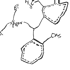 CCCC(c1ccccc1C)c1ccccc1C.CCNCC